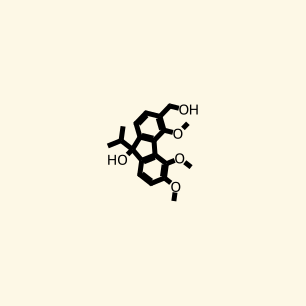 COc1ccc2c(c1OC)-c1c(ccc(CO)c1OC)C2(O)C(C)C